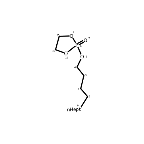 CCCCCCCCCCCOP1(=O)OCCO1